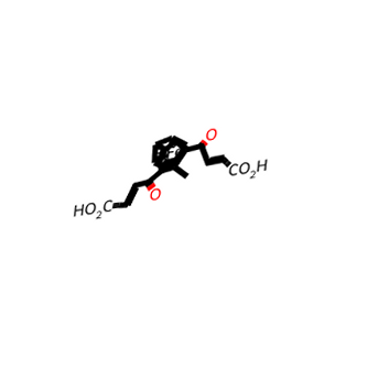 C[C]12[C]3(C(=O)C=CC(=O)O)[CH]4[CH]5[C]1(C(=O)C=CC(=O)O)[Fe]45321678[CH]2[CH]1[CH]6[CH]7[CH]28